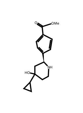 COC(=O)c1ccc([C@@H]2CC(O)(C3CC3)CCN2)cc1